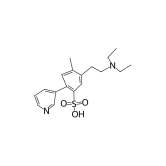 CCN(CC)CCc1cc(S(=O)(=O)O)c(-c2cccnc2)cc1C